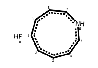 F.c1cccc[nH]ccc1